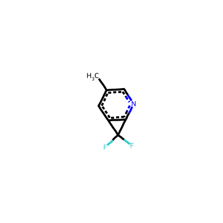 Cc1cnc2c(c1)C2(F)F